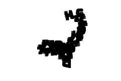 CCCCCOc1ccc(C(=O)Nc2c(C(=O)c3ccccc3)[nH]c3cc(Cl)ccc23)cc1